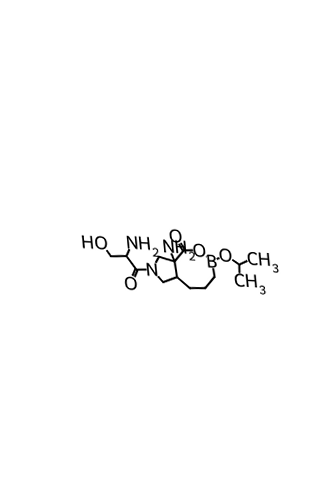 CC(C)OB1CCCC2CN(C(=O)C(N)CO)CC2(N)C(=O)O1